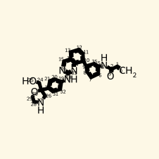 C=CC(=O)Nc1cccc(-c2cccc3cnc(Nc4ccc(C5(CO)CNCCO5)cc4)nc23)c1